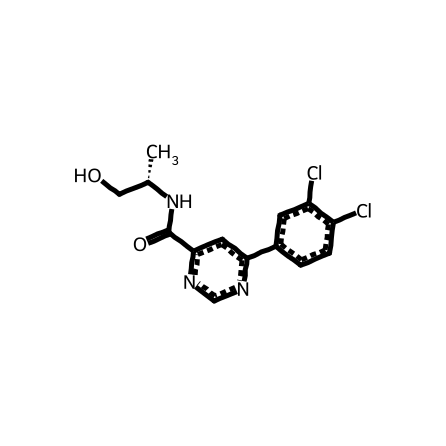 C[C@@H](CO)NC(=O)c1cc(-c2ccc(Cl)c(Cl)c2)ncn1